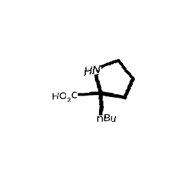 CCCCC1(C(=O)O)CCCN1